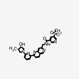 C[C@H]1CN(c2cccc(-c3ccc4cnc(CNC(=O)c5cncc(S(C)(=O)=O)c5)cc4n3)n2)C[C@H]1O